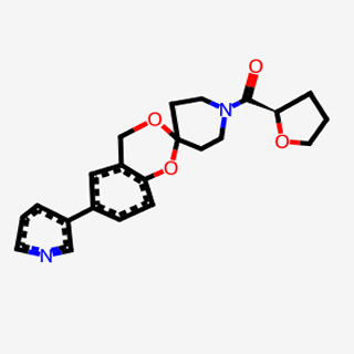 O=C([C@H]1CCCO1)N1CCC2(CC1)OCc1cc(-c3cccnc3)ccc1O2